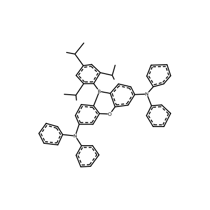 CC(C)c1cc(C(C)C)c(B2c3ccc(N(c4ccccc4)c4ccccc4)cc3Oc3cc(N(c4ccccc4)c4ccccc4)ccc32)c(C(C)C)c1